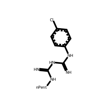 CCCCCNC(=N)NC(=N)Nc1ccc(Cl)cc1